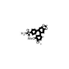 COc1cc(-c2cc3c(cc2-c2ccc(S(N)(=O)=O)cc2)OCO3)ccc1C(F)(F)F